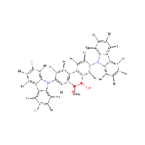 [2H]c1c([2H])c(-n2c3c([2H])c([2H])c([2H])c([2H])c3c3c([2H])c([2H])c([2H])c([2H])c32)c([2H])c(OOOC)c1-c1c([2H])c([2H])c(-n2c3c([2H])c([2H])c([2H])c([2H])c3c3c([2H])c([2H])c([2H])c([2H])c32)c([2H])c1C(=O)OO